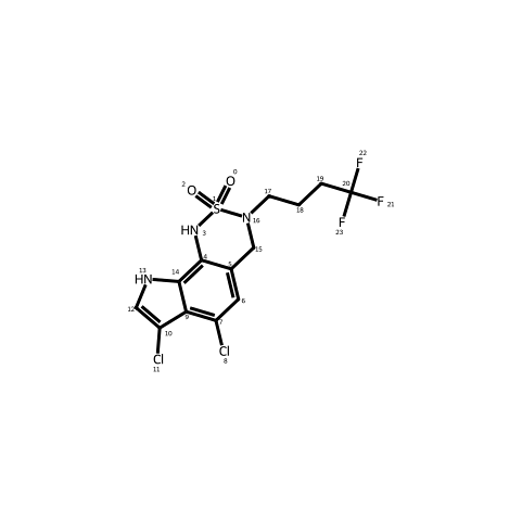 O=S1(=O)Nc2c(cc(Cl)c3c(Cl)c[nH]c23)CN1CCCC(F)(F)F